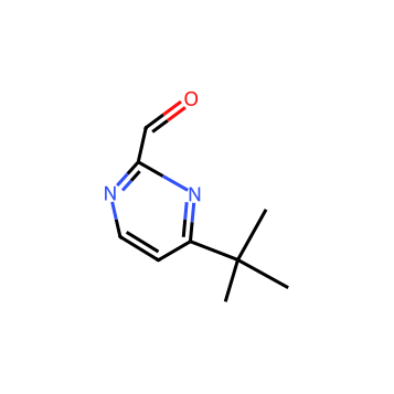 CC(C)(C)c1ccnc(C=O)n1